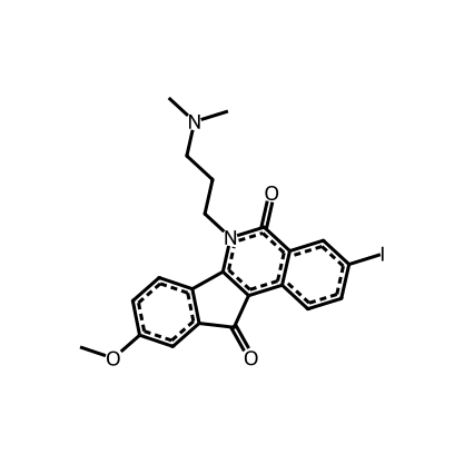 COc1ccc2c(c1)C(=O)c1c-2n(CCCN(C)C)c(=O)c2cc(I)ccc12